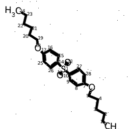 CCCCCCOc1ccc(S(=O)(=O)c2ccc(OCCCCCC)cc2)cc1